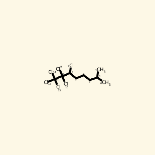 CC(C)CCCC(Cl)C(Cl)(Cl)C(Cl)(Cl)Cl